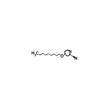 CCCCCCCCCOc1ccnc(C#N)c1